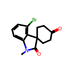 CN1C(=O)C2(CCC(=O)CC2)c2c(Br)cccc21